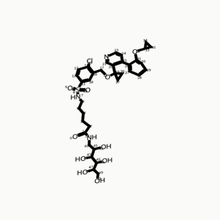 O=C(CCCCCNS(=O)(=O)c1ccc(Cl)c(COC2(c3cnccc3-c3ccccc3OC3CC3)CC2)c1)NCC(O)C(O)C(O)C(O)CO